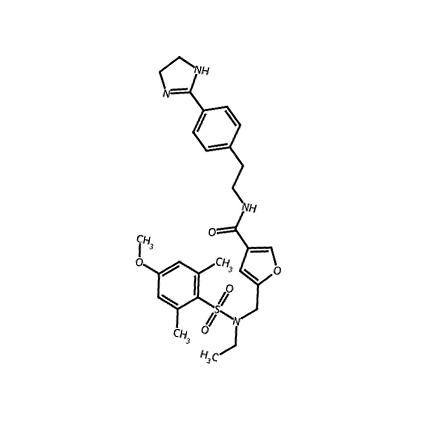 CCN(Cc1cc(C(=O)NCCc2ccc(C3=NCCN3)cc2)co1)S(=O)(=O)c1c(C)cc(OC)cc1C